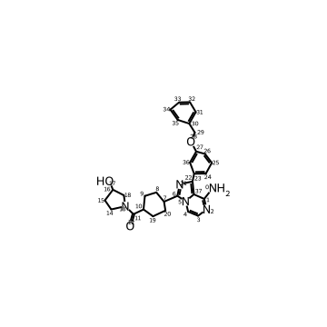 Nc1nccn2c(C3CCC(C(=O)N4CCC(O)C4)CC3)nc(-c3cccc(OCc4ccccc4)c3)c12